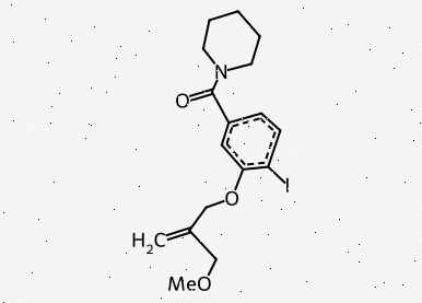 C=C(COC)COc1cc(C(=O)N2CCCCC2)ccc1I